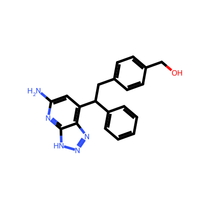 Nc1cc(C(Cc2ccc(CO)cc2)c2ccccc2)c2nn[nH]c2n1